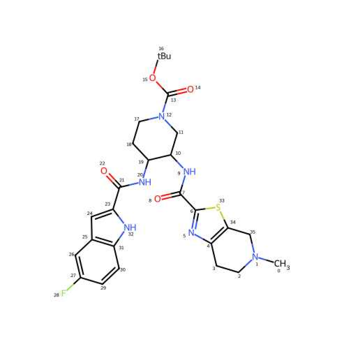 CN1CCc2nc(C(=O)NC3CN(C(=O)OC(C)(C)C)CCC3NC(=O)c3cc4cc(F)ccc4[nH]3)sc2C1